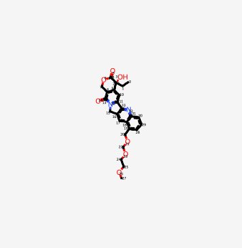 CC[C@@]1(O)C(=O)OCc2c1cc1n(c2=O)Cc2cc3c(COCOCCOC)cccc3nc2-1